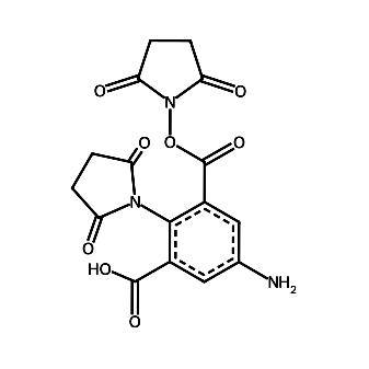 Nc1cc(C(=O)O)c(N2C(=O)CCC2=O)c(C(=O)ON2C(=O)CCC2=O)c1